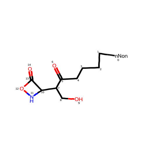 CCCCCCCCCCCCCC(=O)C(CO)C1NOC1=O